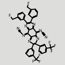 N#C/N=C1/c2nc(-c3cccc(CF)c3)c(-c3cccc(CF)c3)nc2/C(=N\C#N)c2nc(-c3cccc(C(F)(F)F)c3)c(-c3cccc(C(F)(F)F)c3)nc21